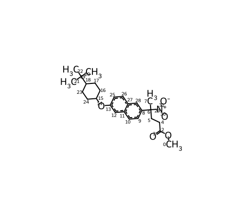 COC(=O)CCC(C)(c1ccc2cc(OC3CCC(C(C)(C)C)CC3)ccc2c1)[N+](=O)[O-]